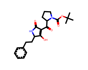 CC(C)(C)OC(=O)N1CCCC1C(=O)C1=C(O)C(CCc2ccccc2)NC1=O